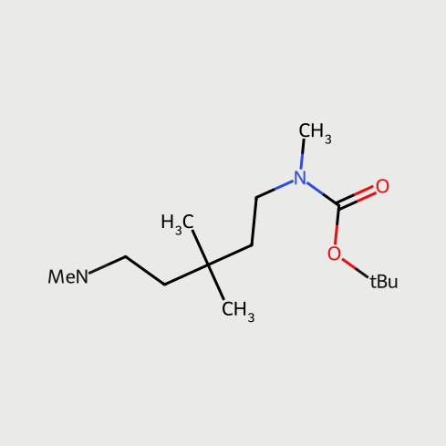 CNCCC(C)(C)CCN(C)C(=O)OC(C)(C)C